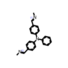 C/N=C/c1ccc(N(c2ccccc2)c2ccc(/C=N/C)cc2)cc1